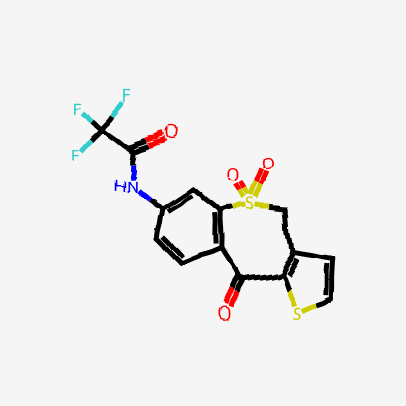 O=C1c2ccc(NC(=O)C(F)(F)F)cc2S(=O)(=O)Cc2ccsc21